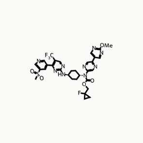 COc1ncc(-c2cnc(N(C(=O)OCC3(F)CC3)[C@H]3CC[C@H](Nc4ncc(C(F)(F)F)c(-c5cncc(S(C)(=O)=O)c5)n4)CC3)cn2)cn1